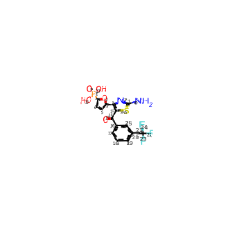 Nc1nc(-c2ccc(P(=O)(O)O)o2)c(C(=O)c2cccc(C(F)(F)F)c2)s1